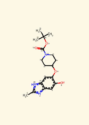 Cc1nc2cc(O)c(OC3CCN(C(=O)OC(C)(C)C)CC3)cc2[nH]1